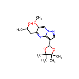 COc1cn2ncc(B3OC(C)(C)C(C)(C)O3)c2nc1CC(C)O